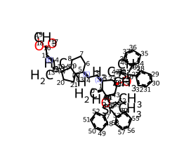 C=C1/C(=C\C=C2/CCC[C@]3(C)[C@@H](C(=C)/C=C/C(=O)OC)CC[C@@H]23)C[C@@H](O[Si](c2ccccc2)(c2ccccc2)C(C)(C)C)C[C@@H]1O[Si](c1ccccc1)(c1ccccc1)C(C)(C)C